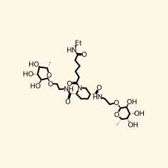 CCNC(=O)CCCCC(=O)N1C[C@H](C(=O)NCCO[C@@H]2O[C@@H](C)[C@@H](O)[C@@H](O)[C@@H]2O)CC[C@@H]1C(=O)NCCO[C@@H]1O[C@@H](C)[C@@H](O)[C@@H](O)[C@@H]1O